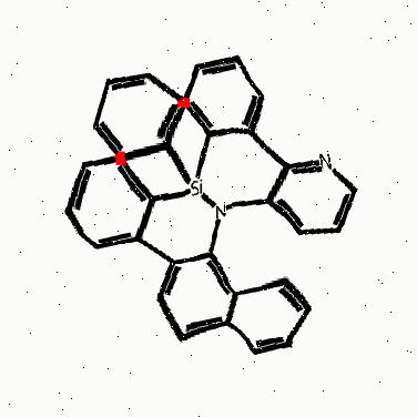 c1ccc([Si]23c4ccccc4-c4ccc5ccccc5c4N2c2cccnc2-c2ccccc23)cc1